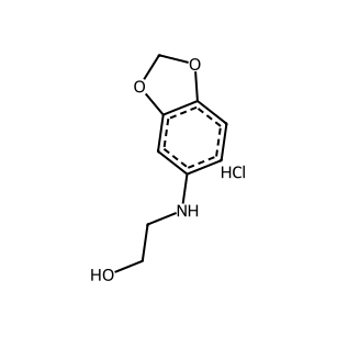 Cl.OCCNc1ccc2c(c1)OCO2